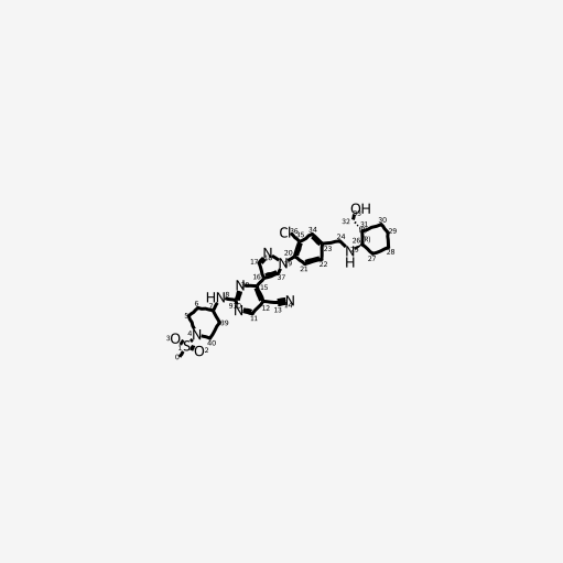 CS(=O)(=O)N1CCC(Nc2ncc(C#N)c(-c3cnn(-c4ccc(CN[C@@H]5CCCC[C@H]5CO)cc4Cl)c3)n2)CC1